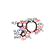 CC[C@H]1OC(=O)[C@H](C)[C@@H](O[C@H]2C[C@@](C)(OC)[C@@H](O)[C@H](C)O2)[C@H](C)[C@@H](O[C@@H]2O[C@H](C)C[C@H](N(C)C)[C@H]2O)[C@](C)(OC)C[C@@H](C)[C@H](O)[C@H](C)[C@@H](O)[C@]1(C)O